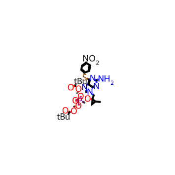 CC1CC1(Cn1cnc2c(Sc3ccc([N+](=O)[O-])cc3)nc(N)nc21)OCP(=O)(OCOC(=O)C(C)(C)C)OCOC(=O)C(C)(C)C